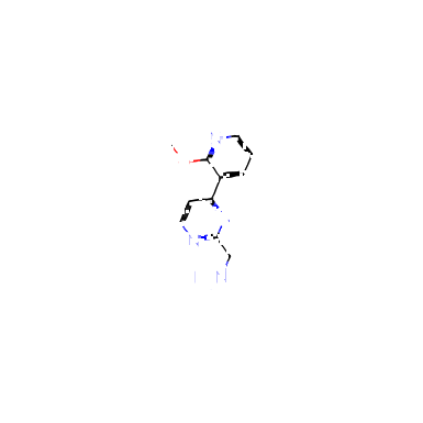 COc1ncccc1-c1ccnc(CN)n1